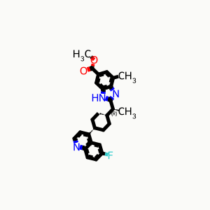 COC(=O)c1cc(C)c2nc([C@H](C)[C@H]3CC[C@@H](c4ccnc5ccc(F)cc54)CC3)[nH]c2c1